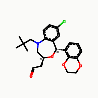 CC(C)(C)CN1C[C@H](CC=O)O[C@@H](c2cccc3c2OCCO3)c2cc(Cl)ccc21